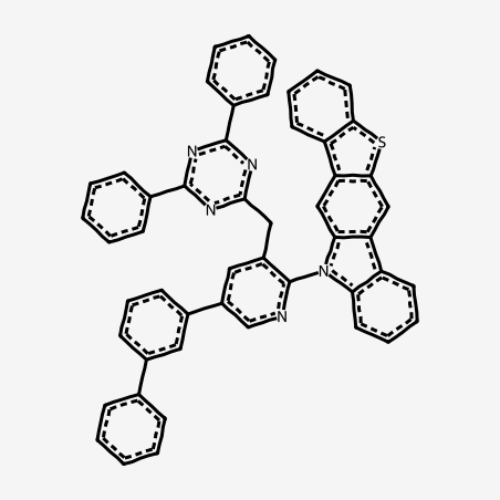 c1ccc(-c2cccc(-c3cnc(-n4c5ccccc5c5cc6sc7ccccc7c6cc54)c(Cc4nc(-c5ccccc5)nc(-c5ccccc5)n4)c3)c2)cc1